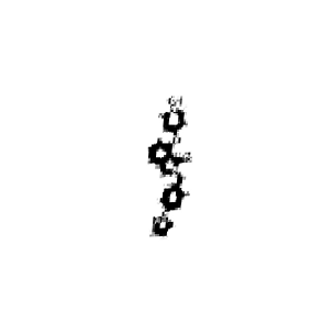 CN1CCC(Oc2cccc3c2C(=O)N(Cc2ccc(-n4cccn4)cc2)C3)CC1